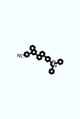 N#Cc1ccc(-c2cc(-c3cccc4c(-c5ccc(-c6cc(-c7ccccc7)nc(-c7ccccc7)n6)cc5)cccc34)cc3ccccc23)cc1